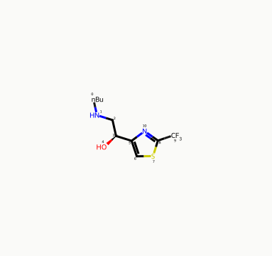 CCCCNC[C@H](O)c1csc(C(F)(F)F)n1